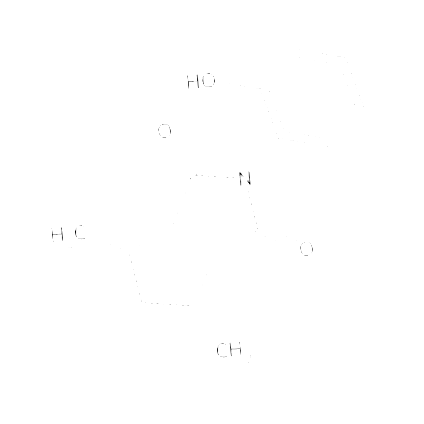 CC1CC(C)C2C(=O)N(c3ccccc3O)C(=O)C12